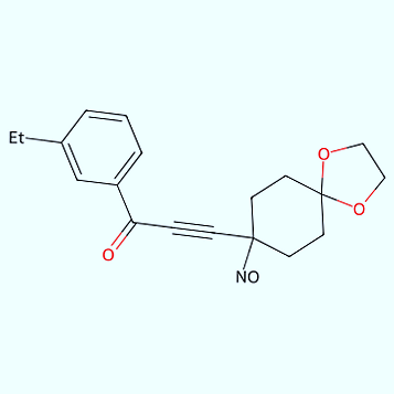 CCc1cccc(C(=O)C#CC2(N=O)CCC3(CC2)OCCO3)c1